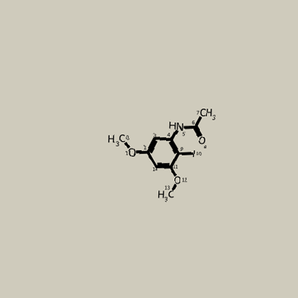 COc1cc(NC(C)=O)c(I)c(OC)c1